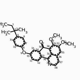 CCC(C)(C)c1ccc(Oc2ccc3c(c2)C(=O)c2c(OC)c(OC)cc4ccnc-3c24)cc1